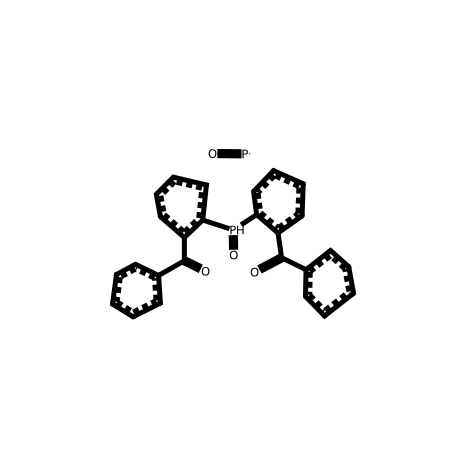 O=C(c1ccccc1)c1ccccc1[PH](=O)c1ccccc1C(=O)c1ccccc1.O=[P]